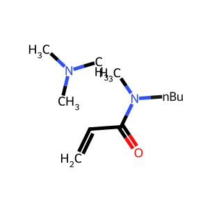 C=CC(=O)N(C)CCCC.CN(C)C